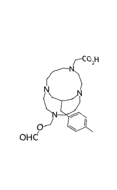 Cc1ccc(CC2CN3CCCN(CC(=O)O)CCN(CCCN(COC=O)CC3)C2)cc1